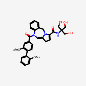 COc1ccccc1-c1ccc(C(=O)N2C=C3CC=C(C(=O)NC(CO)(CO)CO)N3Cc3ccccc32)cc1OC